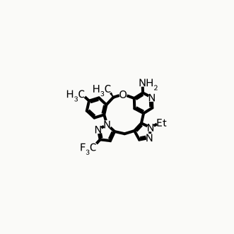 CCn1ncc2c1-c1cnc(N)c(c1)O[C@H](C)c1cc(C)ccc1-n1nc(C(F)(F)F)cc1C2